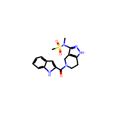 CN(c1n[nH]c2c1CN(C(=O)c1cc3ccccc3[nH]1)CC2)S(C)(=O)=O